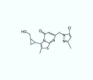 Cc1cc(Cl)n(Cc2cc(=O)n3c(C4CC4CO)c(C)sc3n2)n1